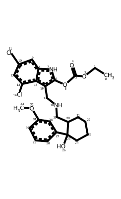 CCOC(=O)Oc1[nH]c2cc(Cl)cc(Cl)c2c1CNCC1CCCCC1(O)c1cccc(OC)c1